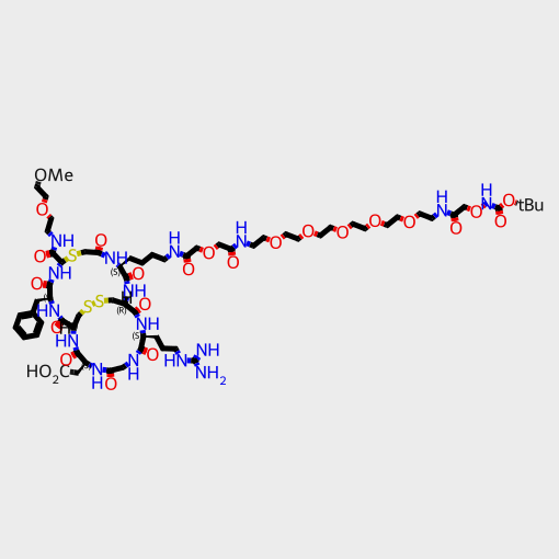 COCCOCCNC(=O)C1NC(=O)[C@H](Cc2ccccc2)NC(=O)[C@@H]2CSSC[C@H](NC(=O)[C@H](CCCCNC(=O)COCC(=O)NCCOCCOCCOCCOCCOCCNC(=O)CONC(=O)OC(C)(C)C)NC(=O)CS1)C(=O)N[C@@H](CCCNC(=N)N)C(=O)NCC(=O)N[C@@H](CC(=O)O)C(=O)N2